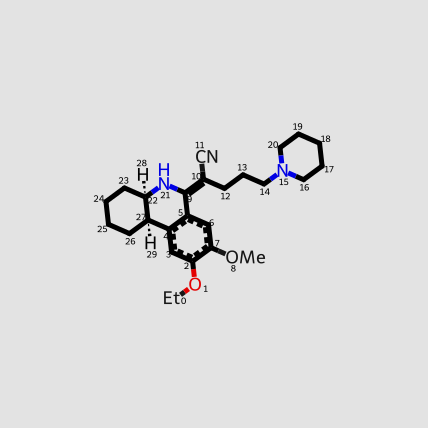 CCOc1cc2c(cc1OC)C(=C(C#N)CCCN1CCCCC1)N[C@@H]1CCCC[C@H]21